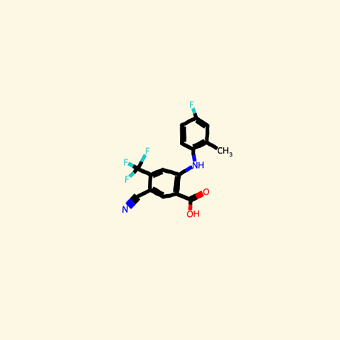 Cc1cc(F)ccc1Nc1cc(C(F)(F)F)c(C#N)cc1C(=O)O